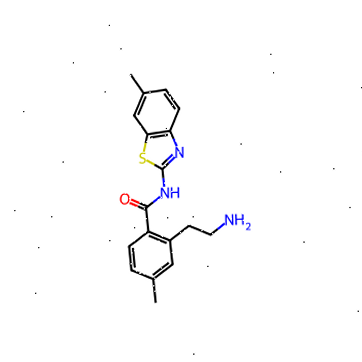 Cc1ccc(C(=O)Nc2nc3ccc(C)cc3s2)c(CCN)c1